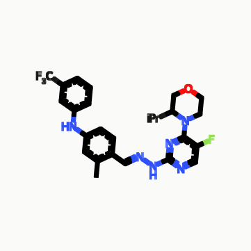 Cc1cc(Nc2cccc(C(F)(F)F)c2)ccc1/C=N/Nc1ncc(F)c(N2CCOCC2C(C)C)n1